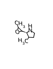 CC1OC1[C@H]1NCCC1C